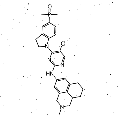 CN1Cc2cc(Nc3ncc(Cl)c(N4CCc5cc(P(C)(C)=O)ccc54)n3)cc3c2C(CCC3)C1